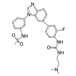 CN(C)CCNC(=O)Nc1ccc(-c2ccc3ncn(-c4cccc(NS(C)(=O)=O)c4)c3c2)cc1F